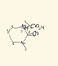 CC(=O)O.CN1CCCNC1=O